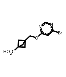 O=C(O)C12CC(COc3cc(Br)ncn3)(C1)C2